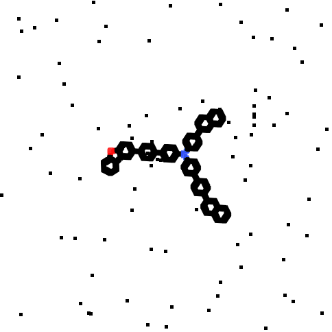 c1ccc2cc(-c3ccc(-c4ccc(N(c5ccc(-c6ccc(-c7ccc8oc9ccccc9c8c7)cc6)cc5)c5ccc(-c6ccc7ccccc7c6)cc5)cc4)cc3)ccc2c1